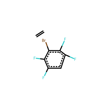 C=C.Fc1cc(F)c(F)c(Br)c1F